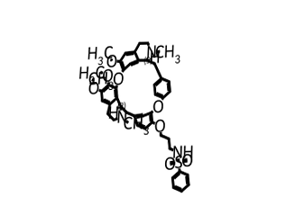 COc1cc2c3cc1Oc1c(OC)c(OC)cc4c1[C@@H](Cc1ccc(OCCCNS(=O)(=O)c5ccccc5)c(c1)Oc1ccc(cc1)C[C@@H]3N(C)CC2)N(C)CC4